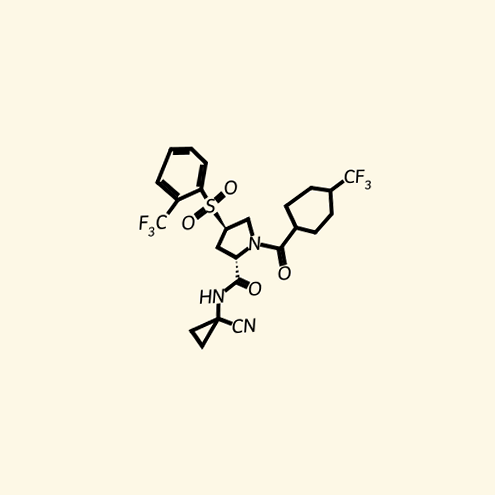 N#CC1(NC(=O)[C@@H]2C[C@@H](S(=O)(=O)c3ccccc3C(F)(F)F)CN2C(=O)C2CCC(C(F)(F)F)CC2)CC1